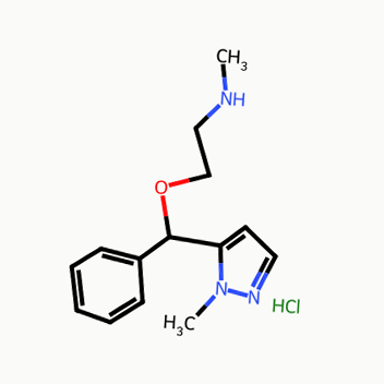 CNCCOC(c1ccccc1)c1ccnn1C.Cl